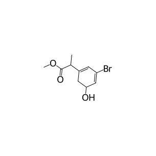 COC(=O)C(C)C1=CC(Br)=CC(O)C1